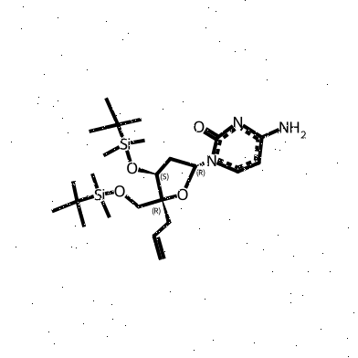 C=CC[C@]1(CO[Si](C)(C)C(C)(C)C)O[C@@H](n2ccc(N)nc2=O)C[C@@H]1O[Si](C)(C)C(C)(C)C